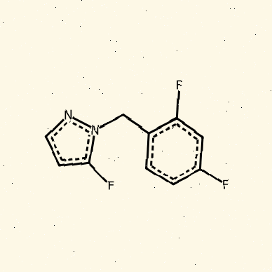 Fc1ccc(Cn2nccc2F)c(F)c1